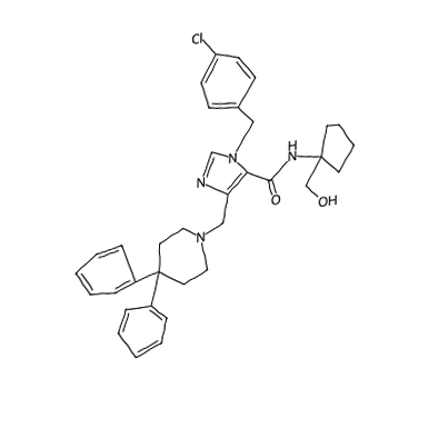 O=C(NC1(CO)CCCC1)c1c(CN2CCC(c3ccccc3)(c3ccccc3)CC2)ncn1Cc1ccc(Cl)cc1